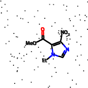 CCn1cnc([N+](=O)[O-])c1C(=O)OC